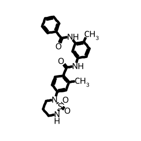 Cc1ccc(NC(=O)c2ccc(N3CCCNS3(=O)=O)cc2C)cc1NC(=O)c1ccccc1